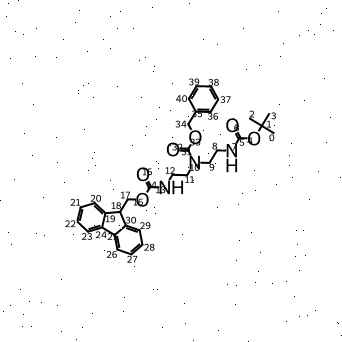 CC(C)(C)OC(=O)NCCN(CCNC(=O)OCC1c2ccccc2-c2ccccc21)C(=O)OCc1ccccc1